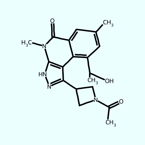 CC(=O)N1CC(c2n[nH]c3c2c2c(C(C)O)cc(C)cc2c(=O)n3C)C1